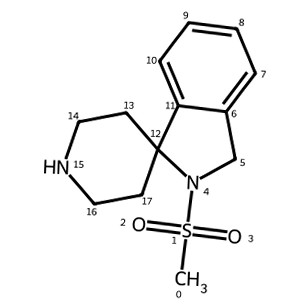 CS(=O)(=O)N1Cc2ccccc2C12CCNCC2